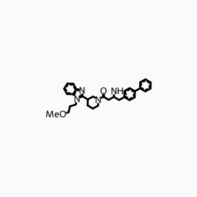 COCCCn1c(C2CCCN(C(=O)CC(N)Cc3ccc(-c4ccccc4)cc3)C2)nc2ccccc21